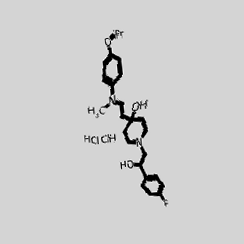 CC(C)Oc1ccc(N(C)CCC2(O)CCN(CC(O)c3ccc(F)cc3)CC2)cc1.Cl.Cl